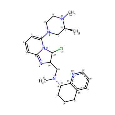 C[C@H]1CN(C2=CC=CC3=NC(CN(C)[C@H]4CCCc5cccnc54)C(Cl)N23)CCN1C